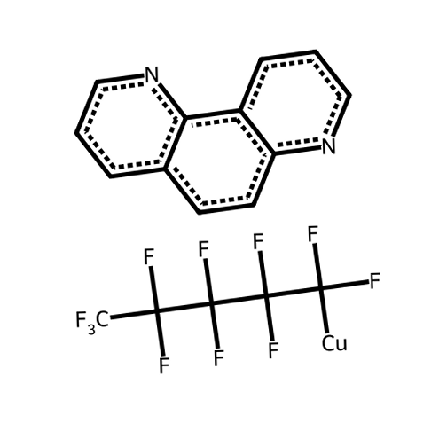 FC(F)(F)C(F)(F)C(F)(F)C(F)(F)[C](F)(F)[Cu].c1cnc2c(c1)ccc1ncccc12